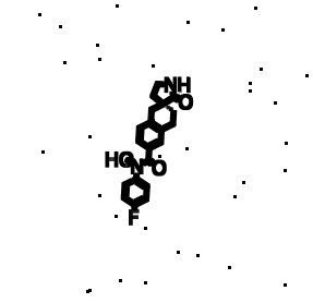 O=C(c1ccc2c(c1)CC[C@@]1(CCNC1=O)C2)N(O)c1ccc(F)cc1